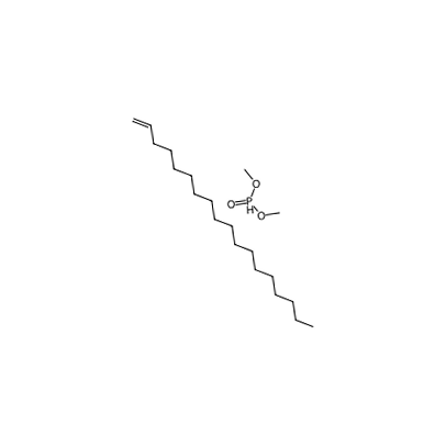 C=CCCCCCCCCCCCCCCCC.CO[PH](=O)OC